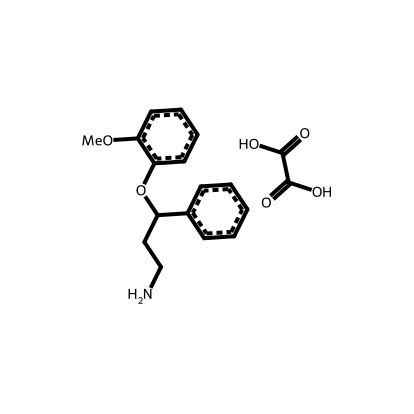 COc1ccccc1OC(CCN)c1ccccc1.O=C(O)C(=O)O